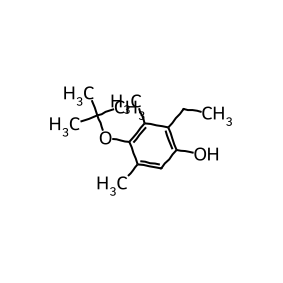 CCc1c(O)cc(C)c(OC(C)(C)C)c1C